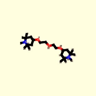 CN1C(C)(C)CC(OCCOCCOC2CC(C)(C)N(C)C(C)(C)C2)CC1(C)C